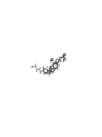 CCCCCc1ccc(C(F)(F)Oc2ccc(O/C=C/C(F)F)c(F)c2)cc1